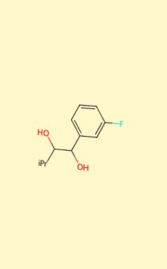 CC(C)C(O)C(O)c1cccc(F)c1